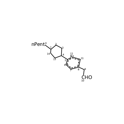 CCCCCC1CCC(c2ccc(CC=O)cn2)CC1